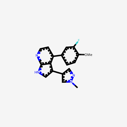 COc1ccc(-c2ccnc3[nH]cc(-c4cnn(C)c4)c23)cc1F